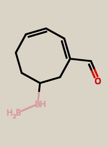 BBC1CCC=C/C=C(/C=O)C1